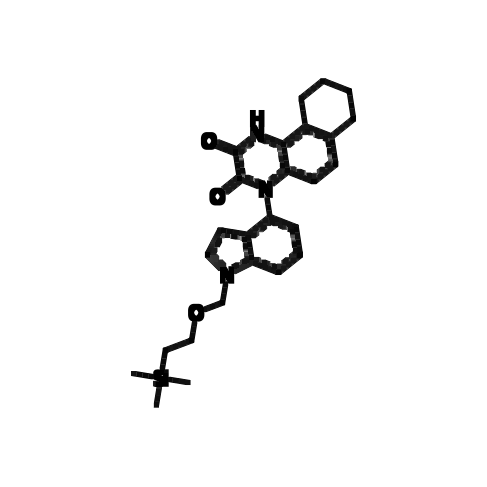 C[Si](C)(C)CCOCn1ccc2c(-n3c(=O)c(=O)[nH]c4c5c(ccc43)CCCC5)cccc21